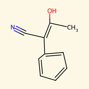 C/C(O)=C(/C#N)c1ccccc1